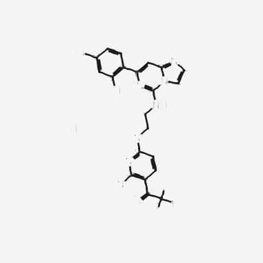 Cl.Nc1nc(NCCNc2nc(-c3ccc(Cl)cc3Cl)cc3nccn23)ccc1C(=O)C(F)(F)F